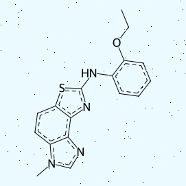 CCOc1ccccc1Nc1nc2c(ccc3c2ncn3C)s1